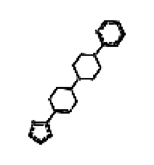 C1=C(c2cccs2)CCC(N2CCN(c3ccccn3)CC2)C1